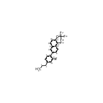 CCCc1ccc(-c2ccc3c(F)c(OC(F)(F)F)ccc3c2)c(F)c1